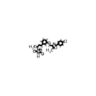 Cc1oc(-c2ccc(Cl)cc2)nc1COc1cccc(C=CC(C)n2oc(=O)[nH]c2=O)c1